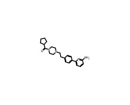 Nc1cccc(-c2ccc(CCN3CCN(C(=O)C4CCCC4)CC3)cc2)n1